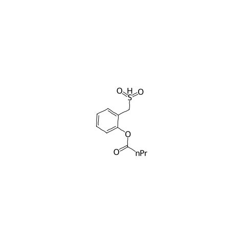 CCCC(=O)Oc1ccccc1C[SH](=O)=O